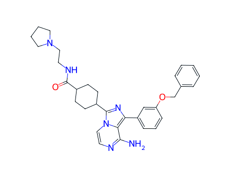 Nc1nccn2c(C3CCC(C(=O)NCCN4CCCC4)CC3)nc(-c3cccc(OCc4ccccc4)c3)c12